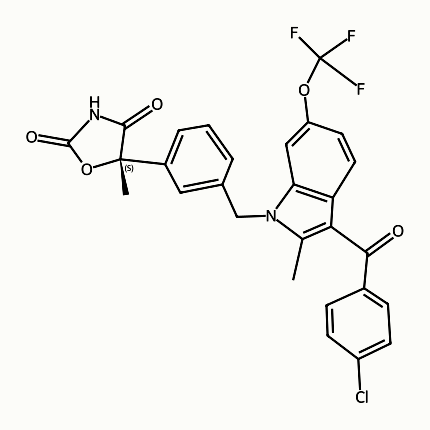 Cc1c(C(=O)c2ccc(Cl)cc2)c2ccc(OC(F)(F)F)cc2n1Cc1cccc([C@]2(C)OC(=O)NC2=O)c1